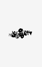 C[C@H](Nc1ncnc2[nH]ccc(=O)c12)c1c(Cl)c2cccc(-c3cnc(NC4CC4)nc3)c2c(=O)n1-c1ccccc1